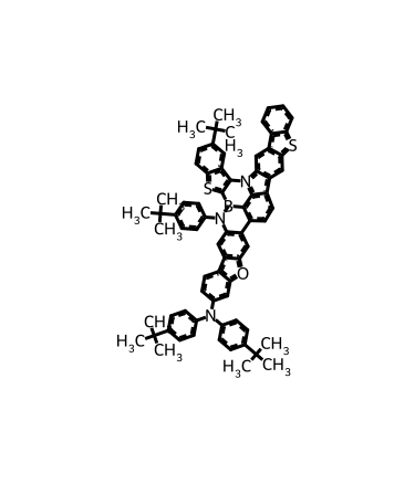 CC(C)(C)c1ccc(N2B3c4sc5ccc(C(C)(C)C)cc5c4-n4c5cc6c(cc5c5ccc(c3c54)-c3cc4oc5cc(N(c7ccc(C(C)(C)C)cc7)c7ccc(C(C)(C)C)cc7)ccc5c4cc32)sc2ccccc26)cc1